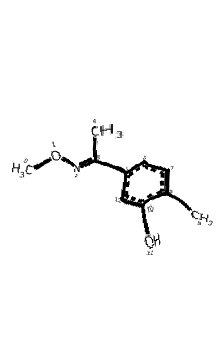 CON=C(C)c1ccc(C)c(O)c1